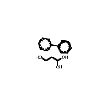 OCCC(O)O.c1ccc(-c2ccccc2)cc1